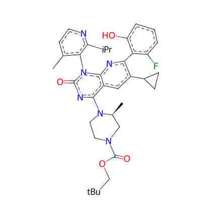 Cc1ccnc(C(C)C)c1-n1c(=O)nc(N2CCN(C(=O)OCC(C)(C)C)C[C@@H]2C)c2cc(C3CC3)c(-c3c(O)cccc3F)nc21